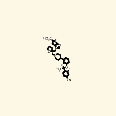 CC1(c2ccc(C#N)cc2F)Oc2cccc(C3CCN(C[C@]4(Cn5cnc6sc(C(=O)O)cc65)CCCO4)CC3)c2O1